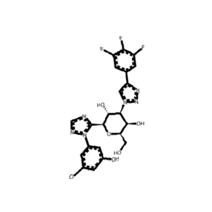 OC[C@H]1O[C@@H](c2ncnn2-c2cc(O)cc(Cl)c2)[C@H](O)[C@@H](n2cc(-c3cc(F)c(F)c(F)c3)nn2)[C@H]1O